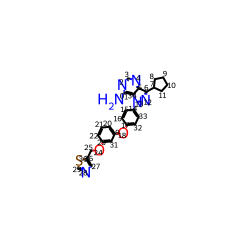 Nc1ncnc2c(C3CCCC3)nn(-c3ccc(Oc4cccc(OCc5cncs5)c4)cc3)c12